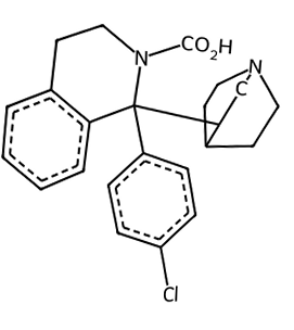 O=C(O)N1CCc2ccccc2C1(c1ccc(Cl)cc1)C1CN2CCC1CC2